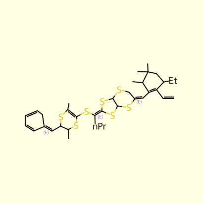 C=CC1=C(/C=C2\CSC3S/C(=C(/CCC)SC4=C(C)SC(/C=C5/C=CC=CC5)C(C)S4)SC3S2)C(C)C(C)(C)CC1CC